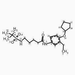 CCc1cc(NC(=O)CCCCNS(=O)(=O)C(C)(C)C)ccc1OC1CCCC1